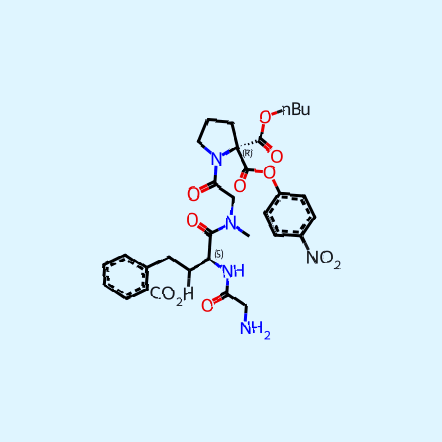 CCCCOC(=O)[C@@]1(C(=O)Oc2ccc([N+](=O)[O-])cc2)CCCN1C(=O)CN(C)C(=O)[C@@H](NC(=O)CN)C(Cc1ccccc1)C(=O)O